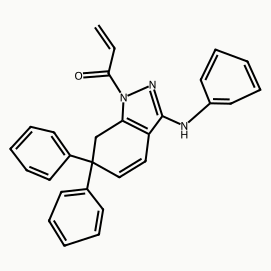 C=CC(=O)n1nc(Nc2ccccc2)c2c1CC(c1ccccc1)(c1ccccc1)C=C2